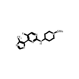 CSN1CCC(Nc2ncc(F)c(-c3scnc3C(F)(F)F)n2)CC1